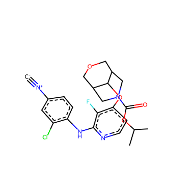 [C-]#[N+]c1ccc(Nc2nccc(OC3C4COCC3CN(C(=O)OC(C)C)C4)c2F)c(Cl)c1